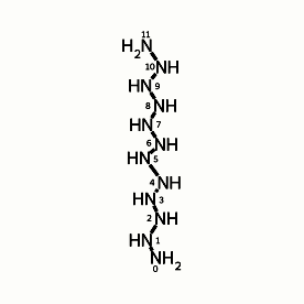 NNNNNNNNNNNN